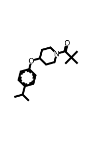 CC(C)c1ccc(OC2CCN(C(=O)C(C)(C)C)CC2)cc1